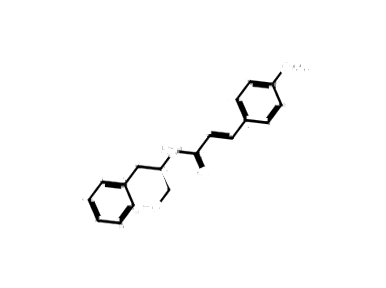 COc1ccc(/C=C/C(=O)N[C@@H](CO)Cc2ccccc2)cc1